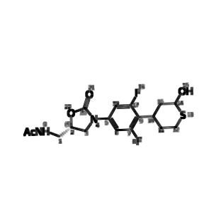 CC(=O)NC[C@H]1CN(c2cc(F)c(C3CCSC(O)C3)c(F)c2)C(=O)O1